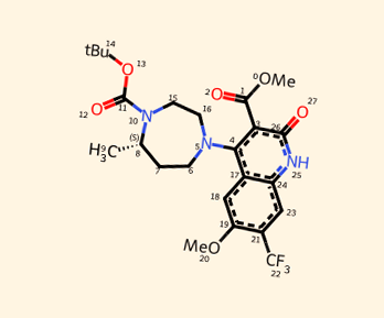 COC(=O)c1c(N2CC[C@H](C)N(C(=O)OC(C)(C)C)CC2)c2cc(OC)c(C(F)(F)F)cc2[nH]c1=O